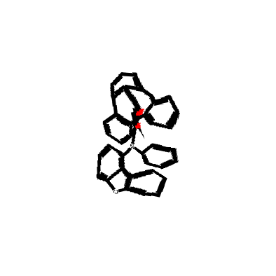 c1ccc(N(c2cccc3c2-c2cccc4c2-c2ccccc2-c2cccc-4c2-3)c2cccc3oc4ccccc4c23)cc1